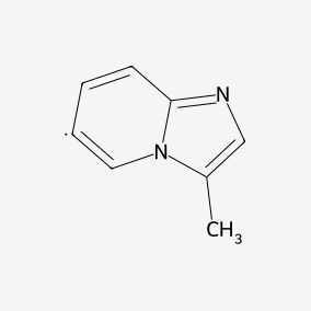 Cc1cnc2cc[c]cn12